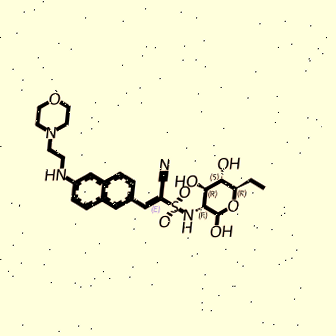 CC[C@H]1OC(O)[C@H](NS(=O)(=O)/C(C#N)=C/c2ccc3cc(NCCN4CCOCC4)ccc3c2)[C@@H](O)[C@@H]1O